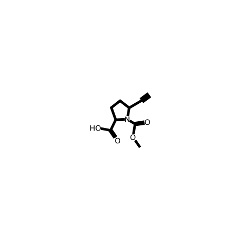 C#CC1CCC(C(=O)O)N1C(=O)OC